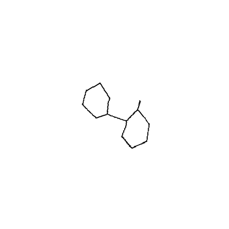 CC1CCCCC1C1CCCCC1